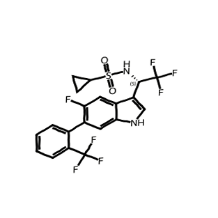 O=S(=O)(N[C@@H](c1c[nH]c2cc(-c3ccccc3C(F)(F)F)c(F)cc12)C(F)(F)F)C1CC1